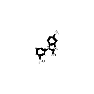 CCCc1nc2cc(C(F)(F)F)ccc2n1-c1cccc(C(=O)O)c1